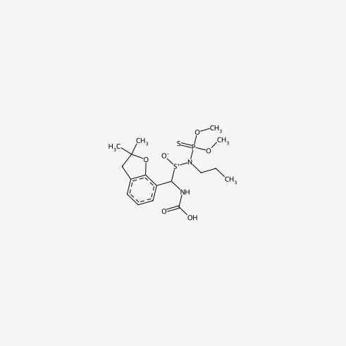 CCCN([S+]([O-])C(NC(=O)O)c1cccc2c1OC(C)(C)C2)P(=S)(OC)OC